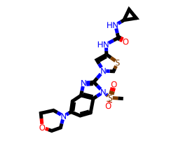 CS(=O)(=O)n1c(N2C=C(NC(=O)NC3CC3)SC2)nc2cc(N3CCOCC3)ccc21